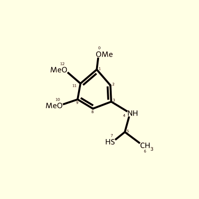 COc1cc(NC(C)S)cc(OC)c1OC